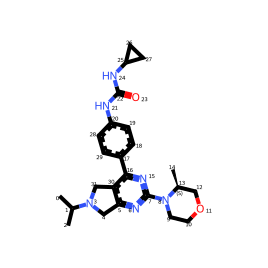 CC(C)N1Cc2nc(N3CCOC[C@@H]3C)nc(-c3ccc(NC(=O)NC4CC4)cc3)c2C1